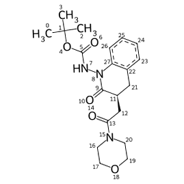 CC(C)(C)OC(=O)NN1C(=O)[C@H](CC(=O)N2CCOCC2)Cc2ccccc21